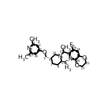 Cc1cc(OC[C@H]2CC[C@H](C)N(C(C)c3nc4c(cc3F)OCCO4)C2)cc(C)n1